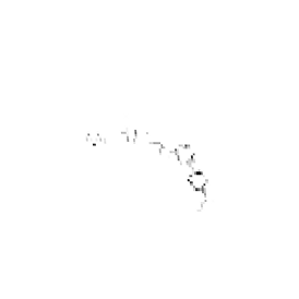 COC(=O)C(C)(C)CCCOc1cccc(-c2ccc(CBr)cc2)c1